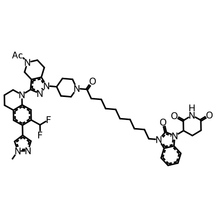 CC(=O)N1CCc2c(c(N3CCCc4cc(-c5cnn(C)c5)c(C(F)F)cc43)nn2C2CCN(C(=O)CCCCCCCCCn3c(=O)n(C4CCC(=O)NC4=O)c4ccccc43)CC2)C1